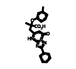 Cc1cccc(OC(C)(Cc2cc(=O)n3nc(-c4ccccc4)nc3[nH]2)C(=O)O)c1